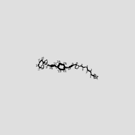 BrCCCCCCOCC#Cc1ccc(C#CCOC2CCCCO2)cc1